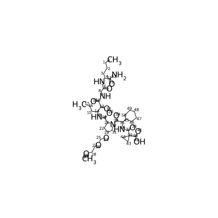 CCCCC(NC(=O)CNC(=O)C(=O)C(CCC)NC(=O)[C@@H]1C[C@@H](OCOCCOC)CN1C(=O)C(NC(=O)C1(C(=O)O)CC1)C1CCCCC1)C(N)=O